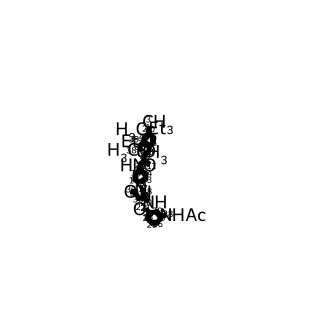 CCC(C)(C)c1ccc(OCC(=O)Nc2ccc(N3N=C(NC(=O)c4cccc(NC(C)=O)c4)CC3=O)cc2)c(C(C)(C)CC)c1